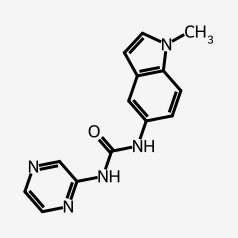 Cn1ccc2cc(NC(=O)Nc3cnccn3)ccc21